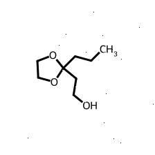 CCCC1(CCO)OCCO1